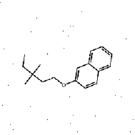 CCC(C)(C)CCOc1ccc2ccccc2c1